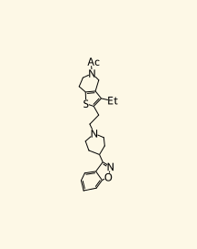 CCc1c(CCN2CCC(c3noc4ccccc34)CC2)sc2c1CN(C(C)=O)CC2